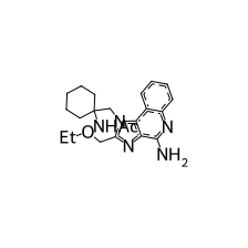 CCOCc1nc2c(N)nc3ccccc3c2n1CC1(NC(C)=O)CCCCC1